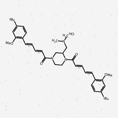 COc1cc(C(C)(C)C)ccc1/C=C/C=C/C(=O)N1CCN(C(=O)/C=C/C=C/c2ccc(C(C)(C)C)cc2OC)C(CN(C)C)C1.Cl